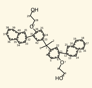 CC(C)(c1ccc(OCCO)c(-c2ccc3ccccc3c2)c1)c1ccc(OCCO)c(-c2ccc3ccccc3c2)c1